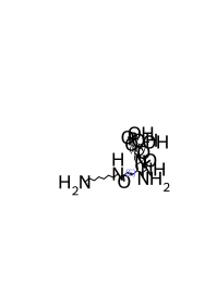 NCCCCCCNC(=O)/C=C/C1=CN([C@H]2C[C@@H](OP(=O)(O)O)[C@@H](CO)O2)C(=O)NC1N